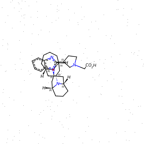 O=C(O)CN1CC[C@H](c2nc3ccccc3n2[C@@H]2C[C@H]3CCC[C@@H](C2)N3[C@@H]2C[C@@H]3CCCC[C@@H](C3)C2)C1